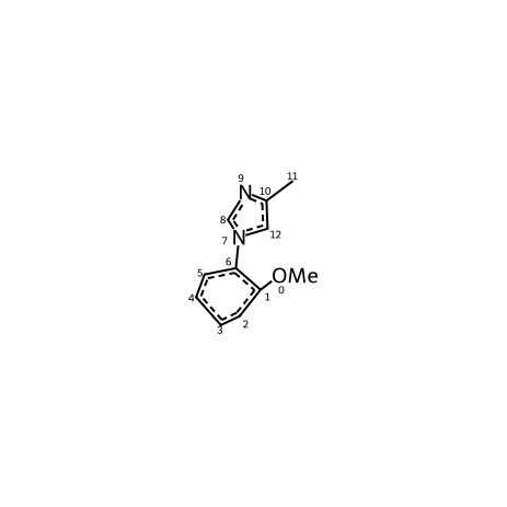 COc1ccccc1-n1cnc(C)c1